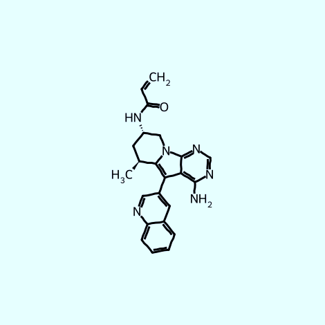 C=CC(=O)N[C@H]1C[C@H](C)c2c(-c3cnc4ccccc4c3)c3c(N)ncnc3n2C1